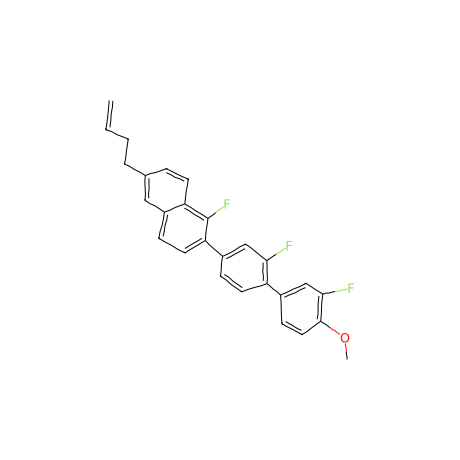 C=CCCc1ccc2c(F)c(-c3ccc(-c4ccc(OC)c(F)c4)c(F)c3)ccc2c1